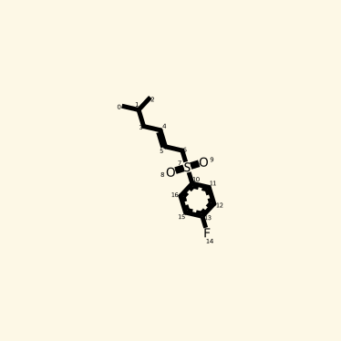 CC(C)CC=CCS(=O)(=O)c1ccc(F)cc1